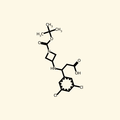 CC(C)(C)OC(=O)N1CC(NC(CC(=O)O)c2cc(Cl)cc(Cl)c2)C1